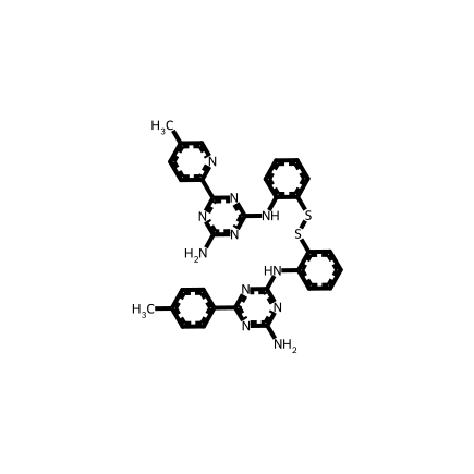 Cc1ccc(-c2nc(N)nc(Nc3ccccc3SSc3ccccc3Nc3nc(N)nc(-c4ccc(C)cn4)n3)n2)cc1